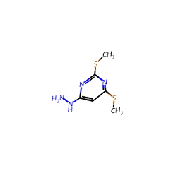 CSc1cc(NN)nc(SC)n1